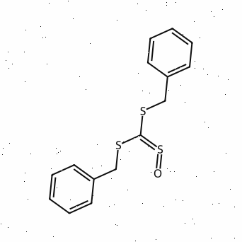 O=S=C(SCc1ccccc1)SCc1ccccc1